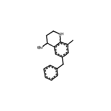 Cc1cc(Cc2ccccc2)cc2c1NCCC2C(C)(C)C